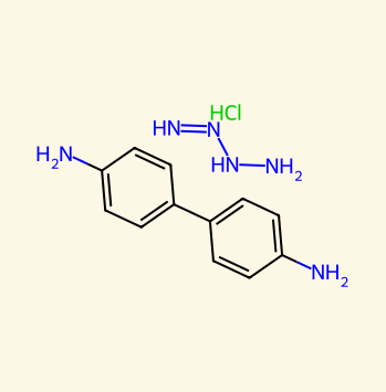 Cl.N=NNN.Nc1ccc(-c2ccc(N)cc2)cc1